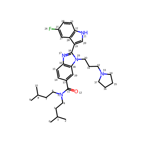 CC(C)CCN(CCC(C)C)C(=O)c1ccc2nc(-c3c[nH]c4ccc(F)cc34)n(CCCN3CCCC3)c2c1